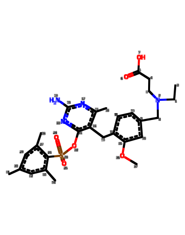 CCN(CCC(=O)O)Cc1ccc(Cc2c(C)nc(N)nc2OS(=O)(=O)c2c(C)cc(C)cc2C)c(OC)c1